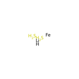 S.S.[Fe].[LiH]